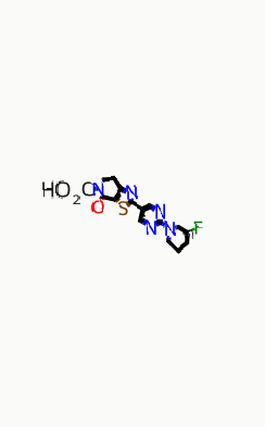 O=C(O)N1CCc2nc(-c3cnc(N4CCC[C@H](F)C4)nc3)sc2C1=O